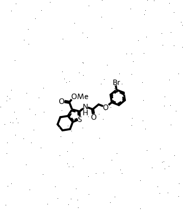 COC(=O)c1c(NC(=O)COc2cccc(Br)c2)sc2c1CCCC2